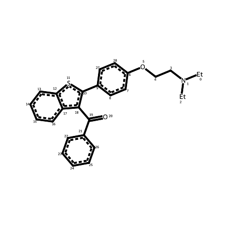 CCN(CC)CCOc1ccc(-c2sc3ccccc3c2C(=O)c2ccccc2)cc1